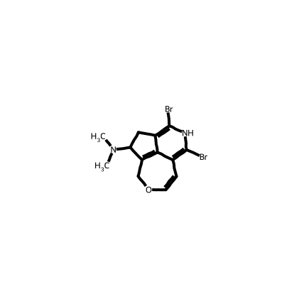 CN(C)C1CC2=C(Br)NC(Br)=C3C=COCC1=C32